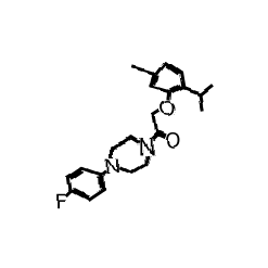 Cc1ccc(C(C)C)c(OCC(=O)N2CCN(c3ccc(F)cc3)CC2)c1